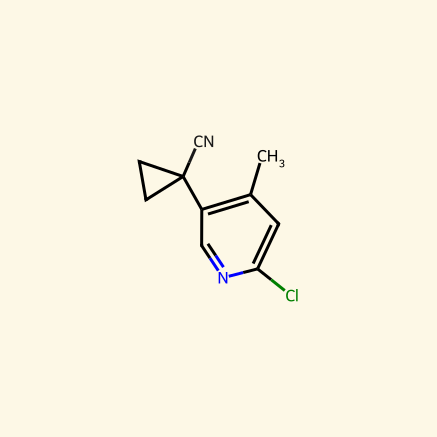 Cc1cc(Cl)ncc1C1(C#N)CC1